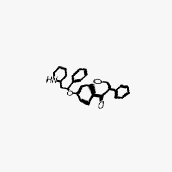 O=c1c(-c2ccccc2)coc2cc(OC(CC3CCCCN3)c3ccccc3)ccc12